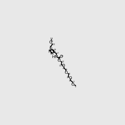 COCCOCCOCCOCCOC(=O)NCc1cn(CCOC)nn1